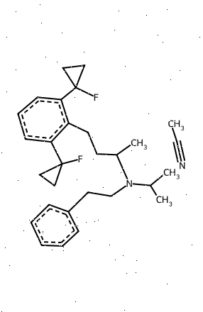 CC#N.CC(C)N(CCc1ccccc1)C(C)CCc1c(C2(F)CC2)cccc1C1(F)CC1